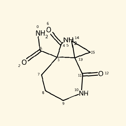 NC(=O)C1(C(N)=O)CCCNC(=O)C12CC2